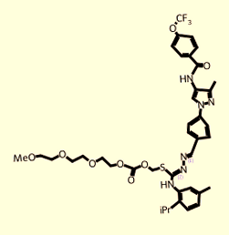 COCCOCCOCCOC(=O)OCS/C(=N\N=C\c1ccc(-n2cc(NC(=O)c3ccc(OC(F)(F)F)cc3)c(C)n2)cc1)Nc1cc(C)ccc1C(C)C